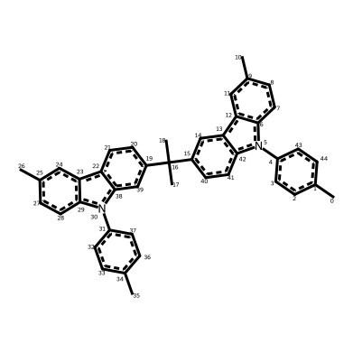 Cc1ccc(-n2c3ccc(C)cc3c3cc(C(C)(C)c4ccc5c6cc(C)ccc6n(-c6ccc(C)cc6)c5c4)ccc32)cc1